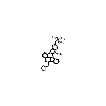 Cc1c2ccc(CC(C)(C)C)cc2cc2c3nccc4cc(CC5CCCC5)c5c6ccccc6n(c12)c5c43